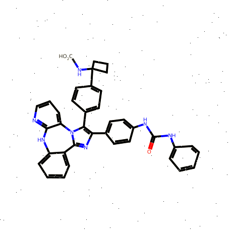 O=C(O)NC1(c2ccc(-c3c(-c4ccc(NC(=O)Nc5ccccc5)cc4)nc4n3-c3cccnc3Nc3ccccc3-4)cc2)CCC1